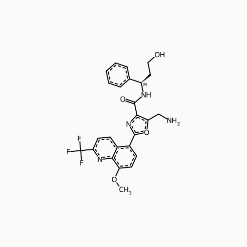 COc1ccc(-c2nc(C(=O)N[C@H](CCO)c3ccccc3)c(CN)o2)c2ccc(C(F)(F)F)nc12